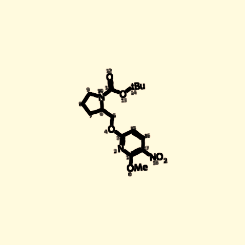 COc1nc(OCC2CCCN2C(=O)OC(C)(C)C)ccc1[N+](=O)[O-]